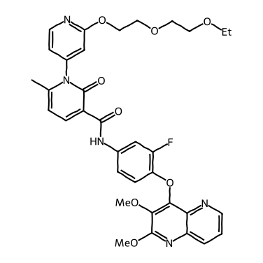 CCOCCOCCOc1cc(-n2c(C)ccc(C(=O)Nc3ccc(Oc4c(OC)c(OC)nc5cccnc45)c(F)c3)c2=O)ccn1